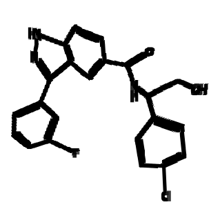 O=C(NC(CO)c1ccc(Cl)cc1)c1ccc2[nH]nc(-c3cccc(F)c3)c2c1